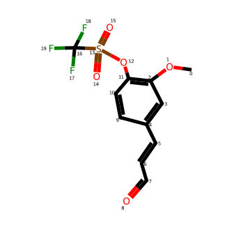 COc1cc(/C=C/C=O)ccc1OS(=O)(=O)C(F)(F)F